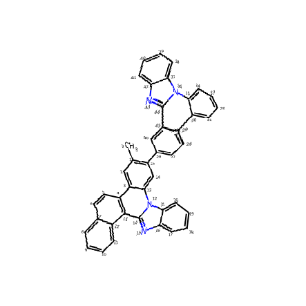 Cc1cc2c3ccc4ccccc4c3c3nc4ccccc4n3c2cc1-c1ccc2c3ccccc3n3c4ccccc4nc3c2c1